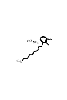 CCCCCCCCCCCCCCCCCCc1cccc(C)c1C.Cl.N